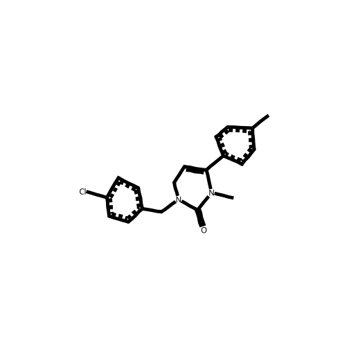 Cc1ccc(C2=CCN(Cc3ccc(Cl)cc3)C(=O)N2C)cc1